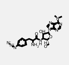 CN(C)c1ncnc2c1ncn2[C@@H]1O[C@H](CO)C(NC(=O)C(N)Cc2ccc(N=[N+]=[N-])cc2)[C@@H]1O